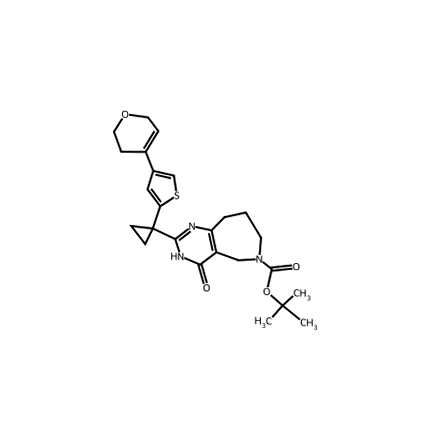 CC(C)(C)OC(=O)N1CCCc2nc(C3(c4cc(C5=CCOCC5)cs4)CC3)[nH]c(=O)c2C1